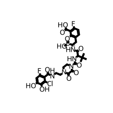 CC(C)(C)C(NC(=O)N1CCN(CCNC(=O)c2c(F)cc(O)c(O)c2Cl)C(=O)C1=O)C(=O)N[C@H]1Cc2ccc(F)c(C(=O)O)c2OB1O